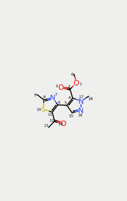 COC(=O)c1c(-c2nc(C)sc2C(C)=O)cnn1C